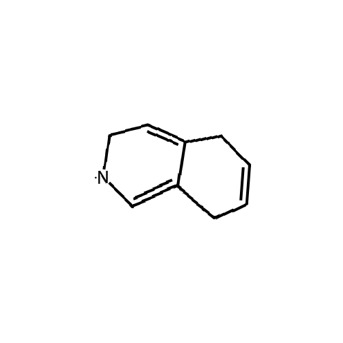 C1=CCC2=C[N]CC=C2C1